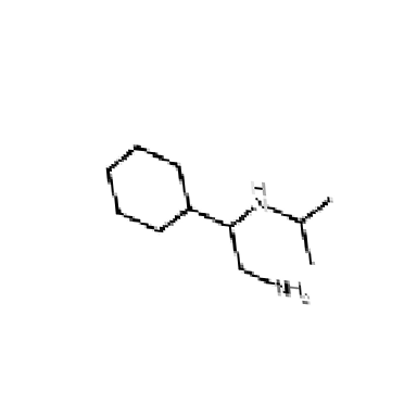 CC(C)NC(CN)C1CCCCC1